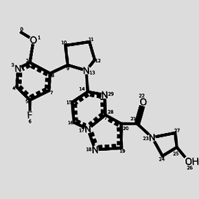 COc1ncc(F)cc1C1CCCN1c1ccn2ncc(C(=O)N3CC(O)C3)c2n1